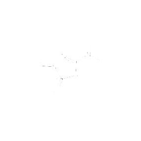 CNc1nn(C)c(=O)o1